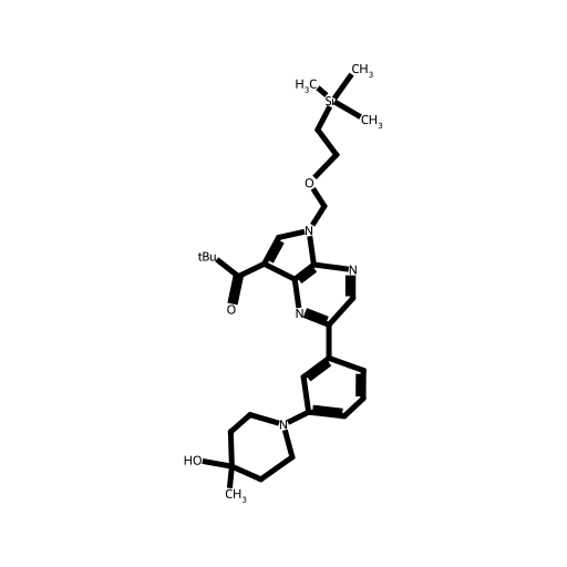 CC1(O)CCN(c2cccc(-c3cnc4c(n3)c(C(=O)C(C)(C)C)cn4COCC[Si](C)(C)C)c2)CC1